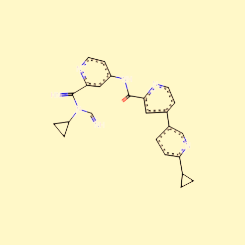 N=CN(C(=N)c1cc(NC(=O)c2cc(-c3ccc(C4CC4)nc3)ccn2)ccn1)C1CC1